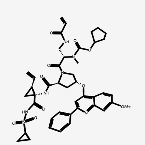 C=CC(=O)NC[C@@H](C(=O)N1C[C@H](Oc2cc(-c3ccccc3)nc3cc(OC)ccc23)C[C@H]1C(=O)N[C@]1(C(=O)NS(=O)(=O)C2CC2)C[C@H]1C=C)N(C)C(=O)OC1CCCC1